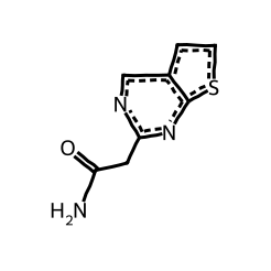 NC(=O)Cc1ncc2ccsc2n1